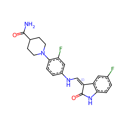 NC(=O)C1CCN(c2ccc(N/C=C3\C(=O)Nc4ccc(F)cc43)cc2F)CC1